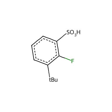 CC(C)(C)c1cccc(S(=O)(=O)O)c1F